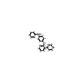 c1ccc(Nc2ccc(Oc3ncccc3-c3ccncn3)cc2)nc1